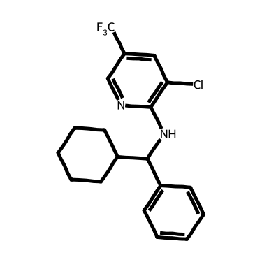 FC(F)(F)c1cnc(NC(c2ccccc2)C2CCCCC2)c(Cl)c1